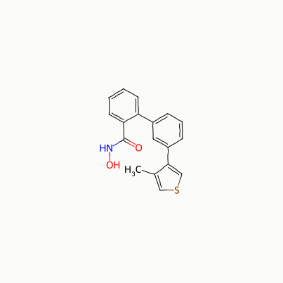 Cc1cscc1-c1cccc(-c2ccccc2C(=O)NO)c1